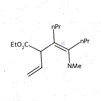 C=CC(C(=O)OCC)/C(CCC)=C(/CCC)NC